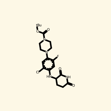 CC(C)(C)OC(=O)N1CCN(c2cc(Cl)c(NC3CCC(=O)NC3=O)cc2F)CC1